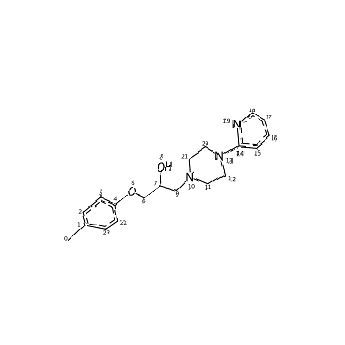 Cc1ccc(OCC(O)CN2CCN(c3ccccn3)CC2)cc1